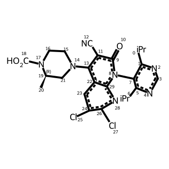 CC(C)c1ncnc(C(C)C)c1-n1c(=O)c(C#N)c(N2CCN(C(=O)O)[C@H](C)C2)c2cc(Cl)c(Cl)nc21